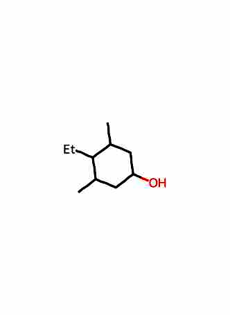 CCC1C(C)CC(O)CC1C